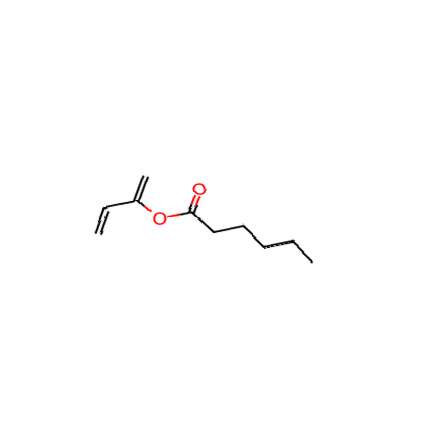 C=CC(=C)OC(=O)CCCCC